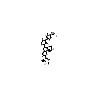 Nc1ccc(-c2ccnc(N(Cc3ccc(C(=O)NO)cc3)c3cnccn3)c2)cn1